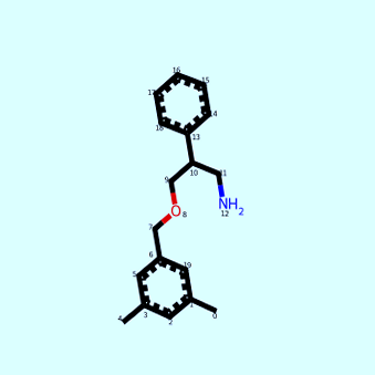 Cc1cc(C)cc(COCC(CN)c2ccccc2)c1